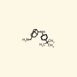 CC(C)(C)c1ccc(NC2C3CC4CC2CC(CN)(C4)C3)cc1